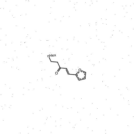 CCCCCCCCC(=O)/C=C/c1ccco1